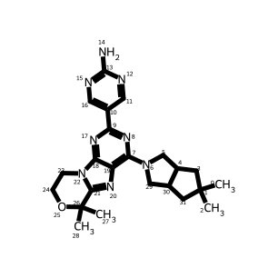 CC1(C)CC2CN(c3nc(-c4cnc(N)nc4)nc4c3nc3n4CCOC3(C)C)CC2C1